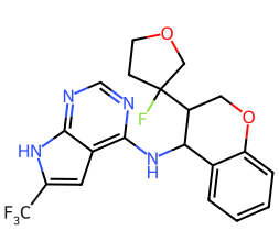 FC(F)(F)c1cc2c(NC3c4ccccc4OCC3C3(F)CCOC3)ncnc2[nH]1